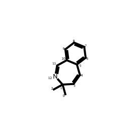 CC1(C)C=Cc2ccccc2C=N1